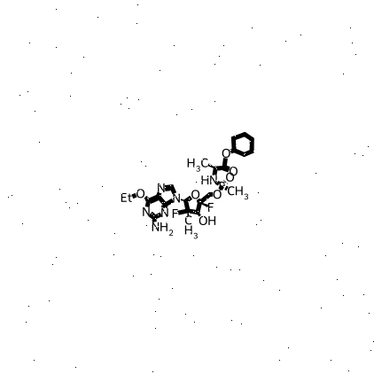 CCOc1nc(N)nc2c1ncn2[C@@H]1O[C@](F)(COP(C)(=O)N[C@@H](C)C(=O)OC2CCCCC2)[C@@H](O)[C@@]1(C)F